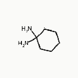 NC1(N)[CH]CCCC1